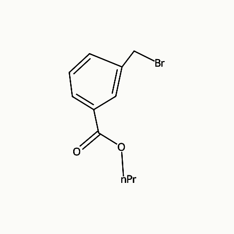 CCCOC(=O)c1cccc(CBr)c1